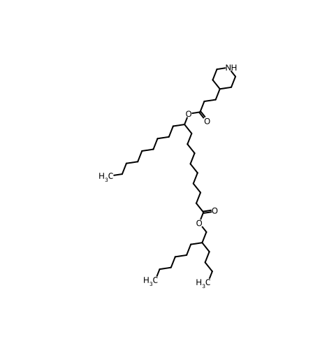 CCCCCCCCCC(CCCCCCCCC(=O)OCC(CCCC)CCCCCC)OC(=O)CCC1CCNCC1